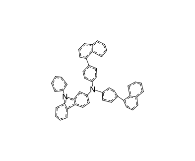 c1ccc(-n2c3ccccc3c3ccc(N(c4ccc(-c5cccc6ccccc56)cc4)c4ccc(-c5cccc6ccccc56)cc4)cc32)cc1